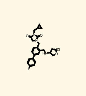 Cl.O=C1CN(Cc2ccc(-c3ccc(F)cc3)cc2CNC2CCOC2)C(=O)N1CC1CC1